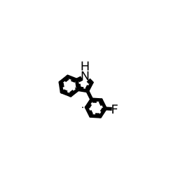 Fc1cc[c]c(-c2c[nH]c3ccccc23)c1